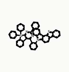 c1ccc(-c2nc(-c3ccccc3-n3c4ccccc4c4c5sc6ccccc6c5ccc43)c3c(n2)[Si](c2ccccc2)(c2ccccc2)c2ccccc2-3)cc1